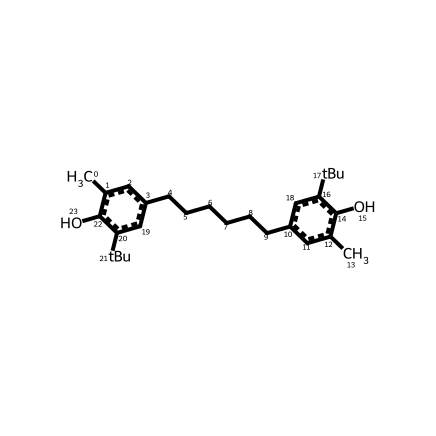 Cc1cc(CCCCCCc2cc(C)c(O)c(C(C)(C)C)c2)cc(C(C)(C)C)c1O